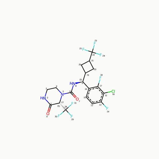 O=C1NCCN(C(=O)N[C@H](c2ccc(F)c(Cl)c2F)C2CC(C(F)(F)F)C2)[C@@H]1C(F)(F)F